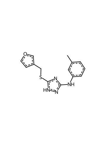 Cc1cccc(Nc2n[nH]c(SCc3ccoc3)n2)c1